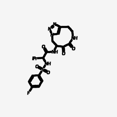 CC(C)C(NS(=O)(=O)c1ccc(F)cc1)C(=O)NC1Cn2cc(nn2)CCNC(=O)C1=O